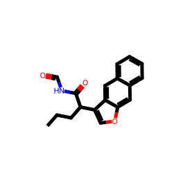 CCCC(C(=O)NC=O)c1coc2cc3ccccc3cc12